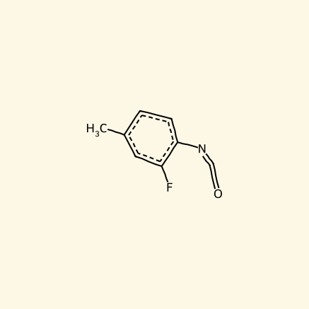 Cc1ccc(N=C=O)c(F)c1